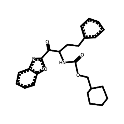 O=C(NC(CCc1ccccc1)C(=O)c1nc2ccccc2o1)OCC1CCCCC1